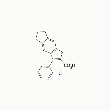 O=C(O)c1sc2cc3c(cc2c1-c1ccccc1Cl)CCC3